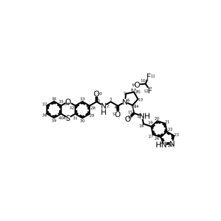 O=C(NCC(=O)N1C[C@H](OC(F)F)C[C@H]1C(=O)NCc1ccc2cn[nH]c2c1)c1ccc2c(c1)Oc1ccccc1S2